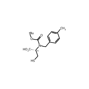 Cc1ccc(CN(C(=O)OC(C)(C)C)[C@H](CS)C(=O)O)cc1